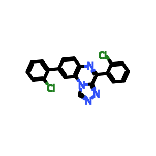 Clc1ccccc1-c1ccc2nc(-c3ccccc3Cl)c3nncn3c2c1